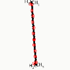 C=C(C)C(=O)OCCCCOCCCCOCCCCOCCCCOCCCCOCCCCOCCCCOCCCCOCCCCOCCCCOC(=O)C(=C)C